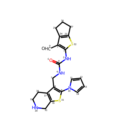 O=Cc1c(NC(=O)NCc2c(-n3cccc3)sc3c2CCNC3)sc2c1CCC2